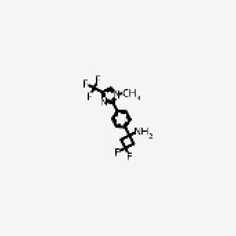 Cn1cc(C(F)(F)F)nc1-c1ccc(C2(N)CC(F)(F)C2)cc1